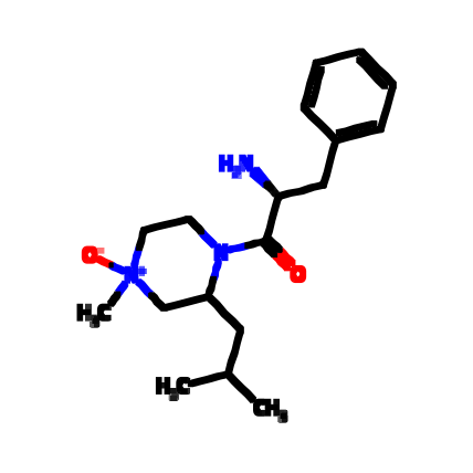 CC(C)CC1C[N+](C)([O-])CCN1C(=O)[C@@H](N)Cc1ccccc1